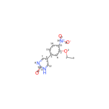 CCOc1cc(-c2cnc(=O)[nH]c2)ccc1[N+](=O)[O-]